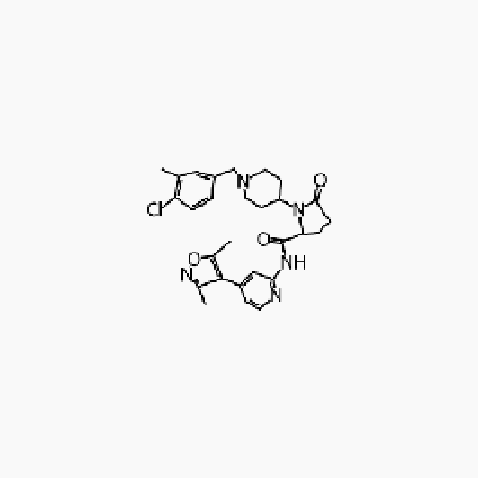 Cc1cc(CN2CCC(N3C(=O)CCC3C(=O)Nc3cc(-c4c(C)noc4C)ccn3)CC2)ccc1Cl